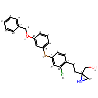 OCC1(CCc2ccc(Sc3cccc(OCc4ccccc4)c3)cc2Cl)CN1